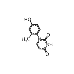 Cc1cc(O)ccc1-n1ccc(=O)[nH]c1=O